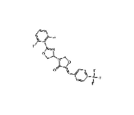 O=C1C(=Cc2ccc(C(F)(F)F)cc2)OCN1C1COC(c2c(F)cccc2F)=N1